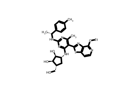 CCOc1nccc2sc(-c3c(C)nc(N[C@H](C)c4ccc(C)cc4)nc3N[C@@H]3C[C@H](CO)[C@@H](O)[C@H]3O)nc12